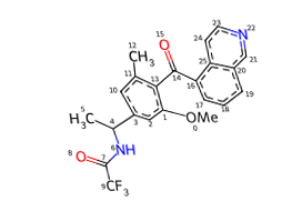 COc1cc(C(C)NC(=O)C(F)(F)F)cc(C)c1C(=O)c1cccc2cnccc12